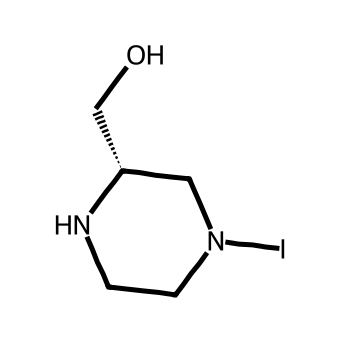 OC[C@@H]1CN(I)CCN1